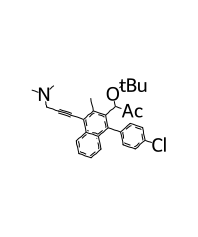 CC(=O)C(OC(C)(C)C)c1c(C)c(C#CCN(C)C)c2ccccc2c1-c1ccc(Cl)cc1